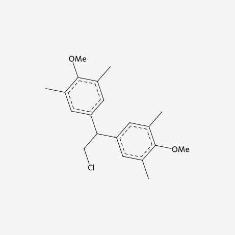 COc1c(C)cc(C(CCl)c2cc(C)c(OC)c(C)c2)cc1C